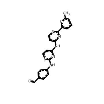 Cc1cccc(-c2nccc(Nc3ccnc(Nc4ccc(C=O)cc4)n3)n2)n1